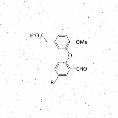 CCOC(=O)Cc1ccc(OC)c(Oc2ccc(Br)cc2C=O)c1